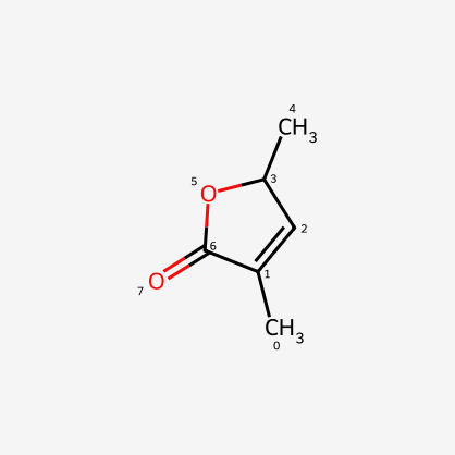 CC1=CC(C)OC1=O